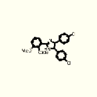 COc1cccc(C2=NC(c3ccc(Cl)cc3)C(c3ccc(Cl)cc3)N2)c1OC